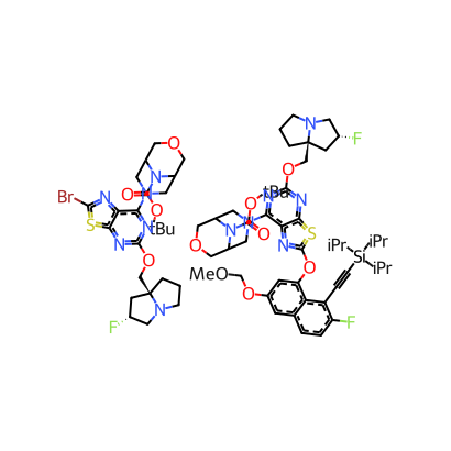 CC(C)(C)OC(=O)N1C2COCC1CN(c1nc(OC[C@@]34CCCN3C[C@H](F)C4)nc3sc(Br)nc13)C2.COCOc1cc(Oc2nc3c(N4CC5COCC(C4)N5C(=O)OC(C)(C)C)nc(OC[C@@]45CCCN4C[C@H](F)C5)nc3s2)c2c(C#C[Si](C(C)C)(C(C)C)C(C)C)c(F)ccc2c1